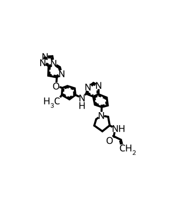 C=CC(=O)NC1CCCN(c2ccc3ncnc(Nc4ccc(Oc5cc6nncn6cn5)c(C)c4)c3c2)C1